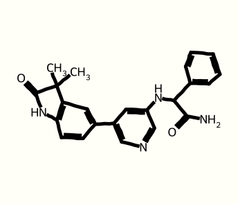 CC1(C)C(=O)Nc2ccc(-c3cncc(NC(C(N)=O)c4ccccc4)c3)cc21